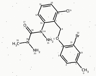 Cc1ccc(OCc2c(Cl)cccc2N(N)C(=O)N(C)N)c(Br)c1